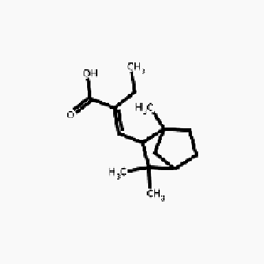 CCC(=CC1C2(C)CCC(C2)C1(C)C)C(=O)O